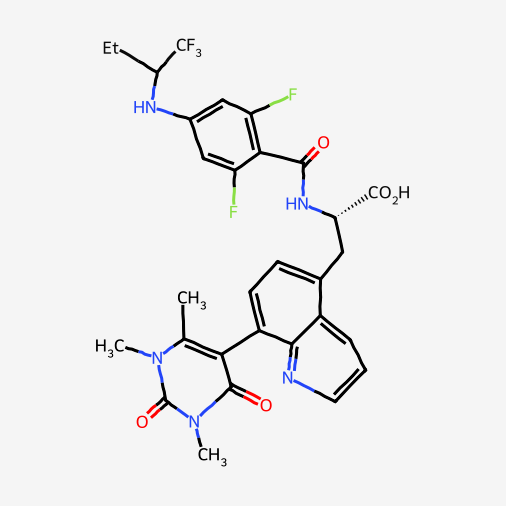 CCC(Nc1cc(F)c(C(=O)N[C@@H](Cc2ccc(-c3c(C)n(C)c(=O)n(C)c3=O)c3ncccc23)C(=O)O)c(F)c1)C(F)(F)F